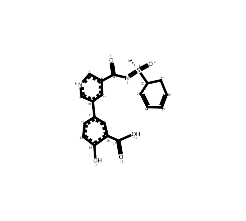 C[S@@](=O)(=NC(=O)c1cncc(-c2ccc(O)c(C(=O)O)c2)c1)C1C=CC=CC1